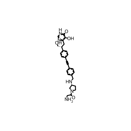 NCC(=O)N1CC[C@@H](NCc2ccc(C#Cc3ccc([C@H](CO)Cc4nc[nH]c(=O)c4O)cc3)cc2)C1